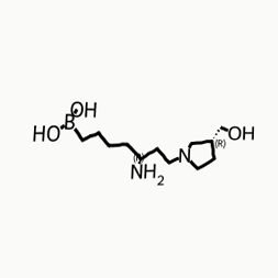 N[C@H](CCCCB(O)O)CCN1CC[C@@H](CO)C1